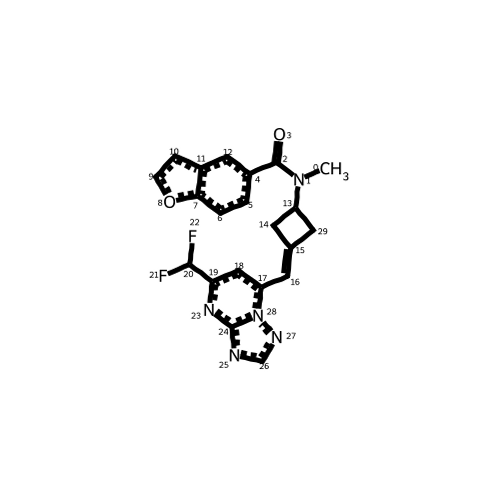 CN(C(=O)c1ccc2occc2c1)C1CC(=Cc2cc(C(F)F)nc3ncnn23)C1